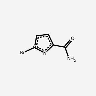 NC(=O)c1ccn(Br)n1